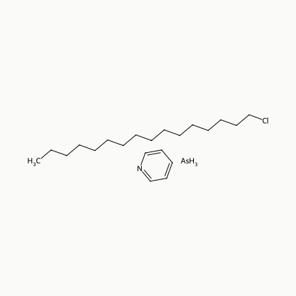 CCCCCCCCCCCCCCCCCl.[AsH3].c1ccncc1